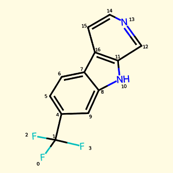 FC(F)(F)c1ccc2c(c1)[nH]c1cnccc12